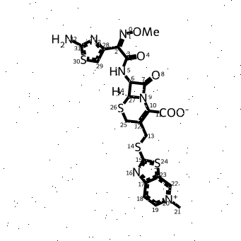 CO/N=C(\C(=O)NC1C(=O)N2C(C(=O)[O-])=C(CSc3nc4cc[n+](C)cc4s3)CS[C@@H]12)c1csc(N)n1